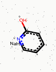 Oc1ccccn1.[NaH]